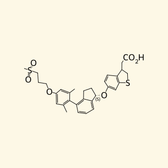 Cc1cc(OCCCS(C)(=O)=O)cc(C)c1-c1cccc2c1CC[C@@H]2Oc1ccc2c(c1)SCC2CC(=O)O